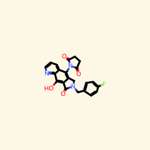 O=C1c2c(c(N3C(=O)CCC3=O)c3cccnc3c2O)CN1Cc1ccc(F)cc1